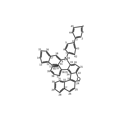 c1ccc(-c2ccc(N(c3ccc4ccccc4c3)c3ccc4oc5ccc6ccccc6c5c4c3-c3ccccc3)cc2)cc1